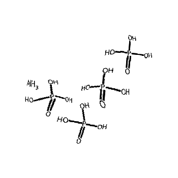 O=P(O)(O)O.O=P(O)(O)O.O=P(O)(O)O.O=P(O)(O)O.[AlH3]